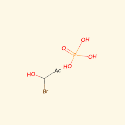 CC(=O)C(O)Br.O=P(O)(O)O